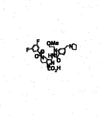 COCCNc1cc(CN2CCCC2)ccc1C(=O)Nc1nn(C(=O)O)c2c1CN(S(=O)(=O)c1cc(F)cc(F)c1)CC2